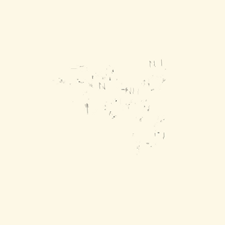 Nc1nc(/C(=N/O[C@@H](CC(=O)O)C(=O)O)C(=O)N[C@@H]2C(=O)N3[C@@H]2[S@@+]([O-])C[C@@H]2CC(=O)O[C@@]23C(=O)O)cs1